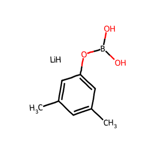 Cc1cc(C)cc(OB(O)O)c1.[LiH]